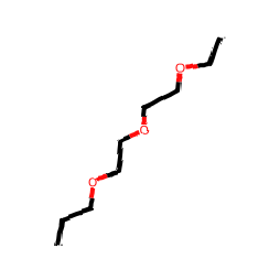 [CH2]CCOCCOCCOC[CH2]